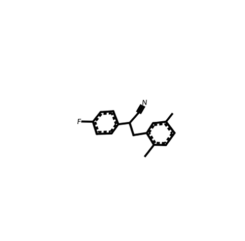 Cc1ccc(C)c(CC(C#N)c2ccc(F)cc2)c1